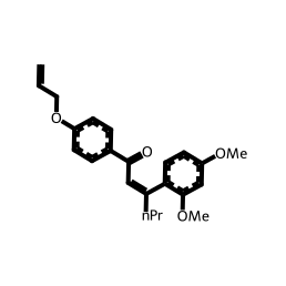 C=CCOc1ccc(C(=O)/C=C(/CCC)c2ccc(OC)cc2OC)cc1